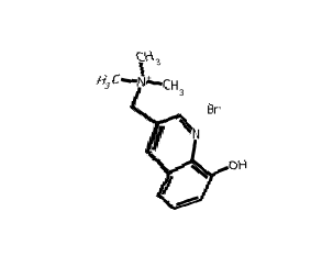 C[N+](C)(C)Cc1cnc2c(O)cccc2c1.[Br-]